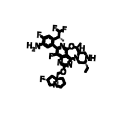 CC[C@@H]1CN2c3nc(OC[C@@]45CCCN4C[C@H](F)C5)nc4c(F)c(-c5cc(N)c(F)cc5[C@@H](C)C(F)F)nc(c34)O[C@@H](C)[C@@H]2CN1